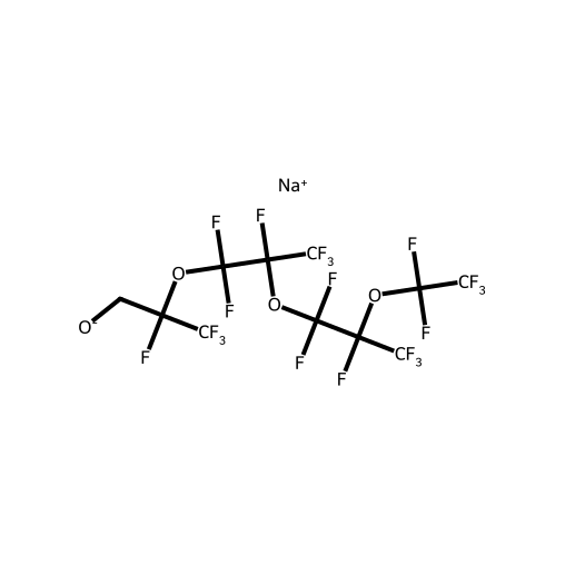 [Na+].[O-]CC(F)(OC(F)(F)C(F)(OC(F)(F)C(F)(OC(F)(F)C(F)(F)F)C(F)(F)F)C(F)(F)F)C(F)(F)F